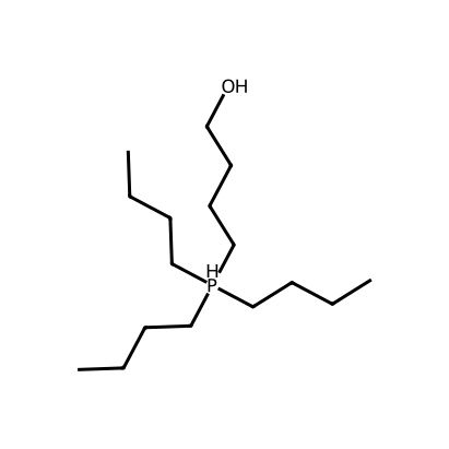 CCCC[PH](CCCC)(CCCC)CCCCO